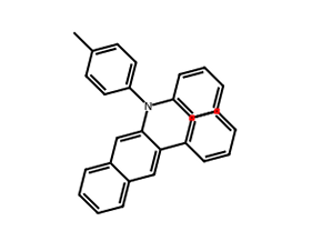 Cc1ccc(N(c2ccccc2)c2cc3ccccc3cc2-c2ccccc2)cc1